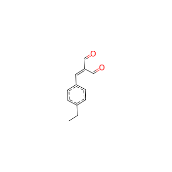 CCc1ccc(C=C(C=O)C=O)cc1